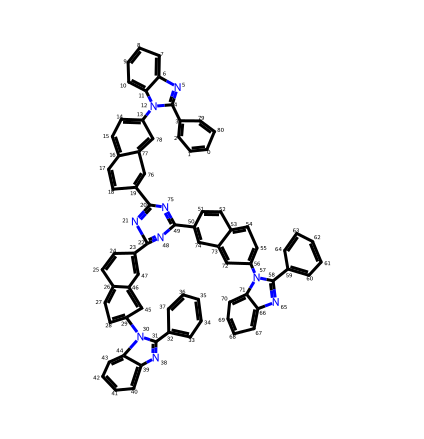 c1ccc(-c2nc3ccccc3n2-c2ccc3ccc(-c4nc(-c5ccc6ccc(-n7c(-c8ccccc8)nc8ccccc87)cc6c5)nc(-c5ccc6ccc(-n7c(-c8ccccc8)nc8ccccc87)cc6c5)n4)cc3c2)cc1